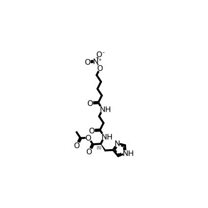 CC(=O)OC(=O)[C@H](Cc1c[nH]cn1)NC(=O)CCNC(=O)CCCCO[N+](=O)[O-]